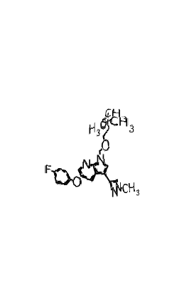 Cn1cc(-c2cn(COCC[Si](C)(C)C)c3ncc(Oc4ccc(F)cc4)cc23)cn1